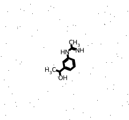 CC(=N)Nc1cccc(C(C)O)c1